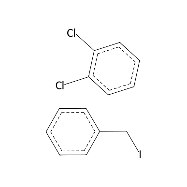 Clc1ccccc1Cl.ICc1ccccc1